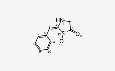 O=C1CNC(=Cc2ccccc2)[S+]1[O-]